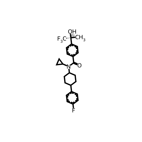 C[C@](O)(c1ccc(C(=O)N(C2CCC(c3ccc(F)cc3)CC2)C2CC2)cc1)C(F)(F)F